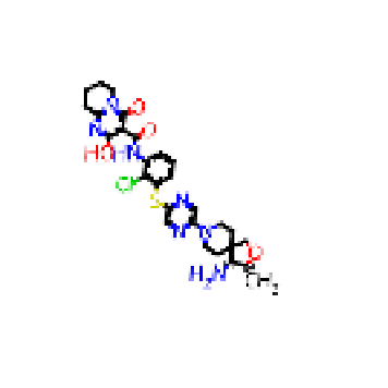 C[C@@H]1OCC2(CCN(c3cnc(Sc4cccc(NC(=O)c5c(O)nc6n(c5=O)CCCC6)c4Cl)cn3)CC2)[C@@H]1N